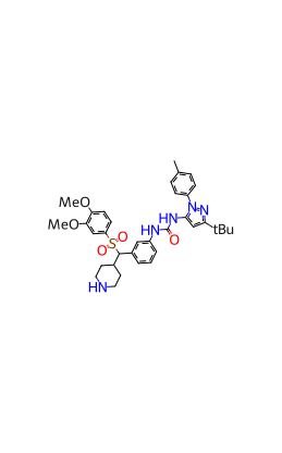 COc1ccc(S(=O)(=O)C(c2cccc(NC(=O)Nc3cc(C(C)(C)C)nn3-c3ccc(C)cc3)c2)C2CCNCC2)cc1OC